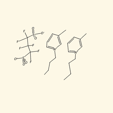 CCCC[n+]1cccc(C)c1.CCCC[n+]1cccc(C)c1.O=S(=O)([O-])C(F)(F)C(F)(F)C(F)(F)S(=O)(=O)[O-]